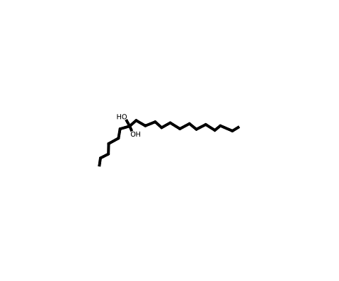 CCCCCCCCCCCCCC(O)(O)CCCCCC